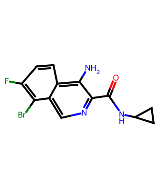 Nc1c(C(=O)NC2CC2)ncc2c(Br)c(F)ccc12